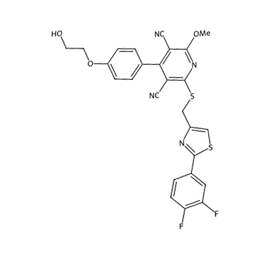 COc1nc(SCc2csc(-c3ccc(F)c(F)c3)n2)c(C#N)c(-c2ccc(OCCO)cc2)c1C#N